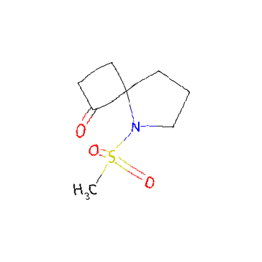 CS(=O)(=O)N1CCCC12CCC2=O